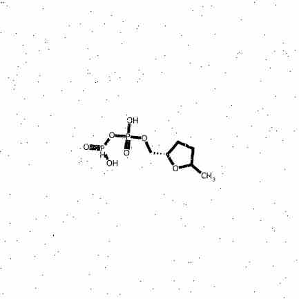 CC1CC[C@@H](COP(=O)(O)O[PH](=O)O)O1